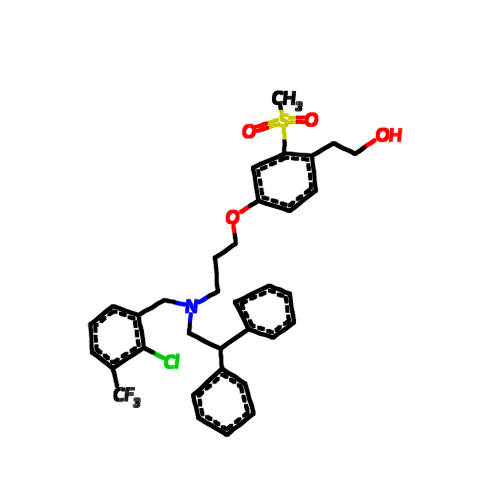 CS(=O)(=O)c1cc(OCCCN(Cc2cccc(C(F)(F)F)c2Cl)CC(c2ccccc2)c2ccccc2)ccc1CCO